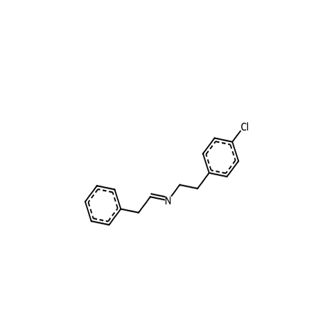 Clc1ccc(CCN=CCc2ccccc2)cc1